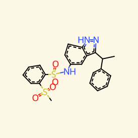 CC(c1ccccc1)c1n[nH]c2ccc(NS(=O)(=O)c3ccccc3S(C)(=O)=O)cc12